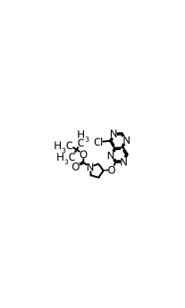 CC(C)(C)OC(=O)N1CC[C@H](Oc2ncc3ncnc(Cl)c3n2)C1